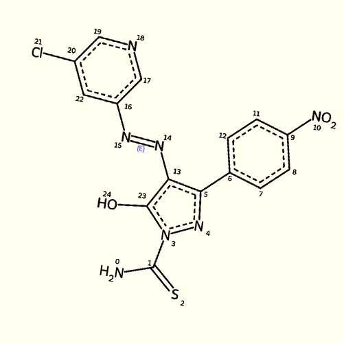 NC(=S)n1nc(-c2ccc([N+](=O)[O-])cc2)c(/N=N/c2cncc(Cl)c2)c1O